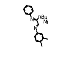 CCCCC(C=Nc1ccc(C)c(C)c1)=Nc1ccccc1.[Ni]